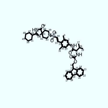 Cc1cc(NC(=O)[C@@H](NC(=O)OCC2c3ccccc3-c3ccccc32)C(C)C)cc(C)c1/C=C/S(=O)(=O)N1CCC2(CC1)N=C(C1CCCCC1)NC2=O